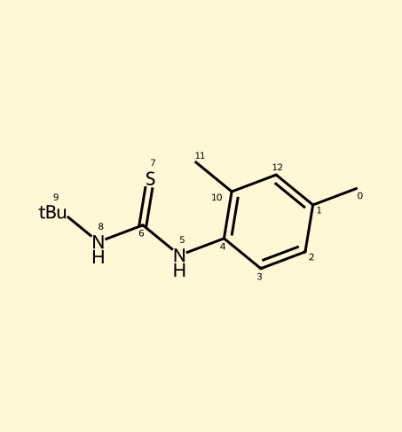 Cc1ccc(NC(=S)NC(C)(C)C)c(C)c1